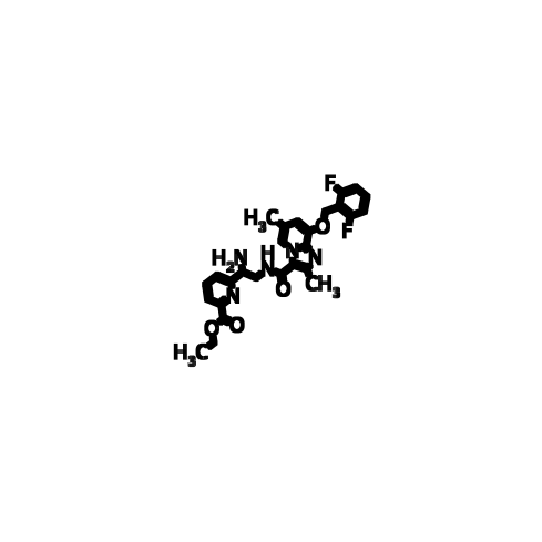 CCOC(=O)c1cccc(C(N)CNC(=O)c2c(C)nc3c(OCc4c(F)cccc4F)cc(C)cn23)n1